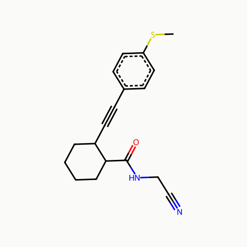 CSc1ccc(C#CC2CCCCC2C(=O)NCC#N)cc1